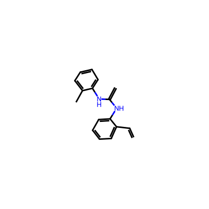 C=Cc1ccccc1NC(=C)Nc1ccccc1C